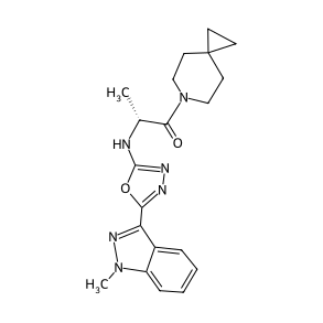 C[C@@H](Nc1nnc(-c2nn(C)c3ccccc23)o1)C(=O)N1CCC2(CC1)CC2